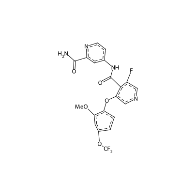 COc1cc(OC(F)(F)F)ccc1Oc1cncc(F)c1C(=O)Nc1ccnc(C(N)=O)c1